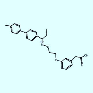 CC/C(=N\OCCOc1cccc(CC(=O)O)c1)c1ccc(-c2ccc(C)cc2)cc1